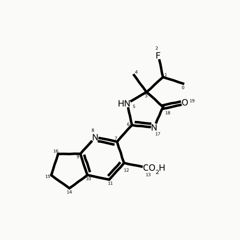 CC(F)C1(C)NC(c2nc3c(cc2C(=O)O)CCC3)=NC1=O